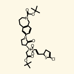 CC(C)(C)OC(=O)CN([C@H]1CCN(c2ccc3c(c2)CCCN(C(=O)OC(C)(C)C)C3)C1=O)S(=O)(=O)/C=C/C1CC=C(Cl)S1